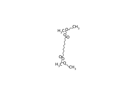 CCCCOC(C)COC(=O)CCCCCCCCCCC(=O)OCC(C)OCCCC